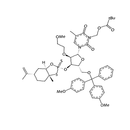 C=C(C)[C@H]1CC[C@@]2(C)S[P@@](=S)(O[C@H]3[C@@H](OCCOC)[C@H](n4cc(C)c(=O)n(COC(=O)C(C)(C)C)c4=O)O[C@@H]3COC(c3ccccc3)(c3ccc(OC)cc3)c3ccc(OC)cc3)O[C@@H]2C1